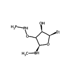 CB[C@@H]1O[C@H](CC)[C@H](O)C1OPP